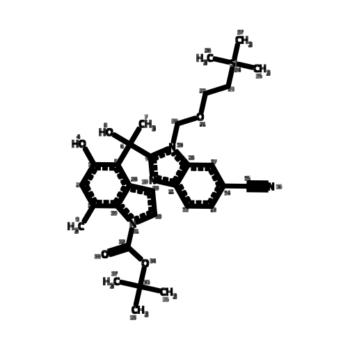 Cc1cc(O)c(C(C)(O)c2nc3ccc(C#N)cc3n2COCC[Si](C)(C)C)c2ccn(C(=O)OC(C)(C)C)c12